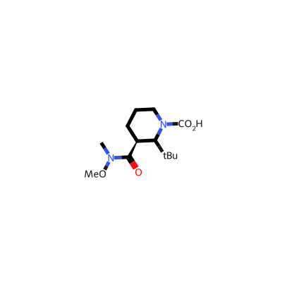 CON(C)C(=O)[C@H]1CCCN(C(=O)O)C1C(C)(C)C